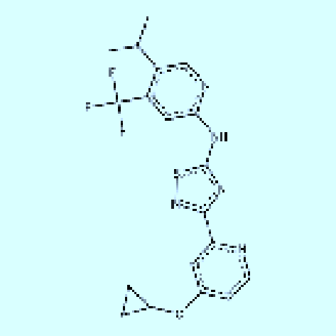 CC(C)c1cnc(Nc2nc(-c3cc(OC4CC4)ccn3)ns2)cc1C(F)(F)F